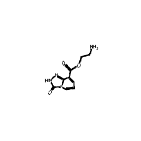 NCCOC(=O)c1cccn2c(=O)[nH]nc12